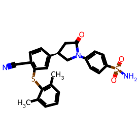 Cc1cccc(C)c1Sc1cc([C@H]2CC(=O)N(c3ccc(S(N)(=O)=O)cc3)C2)ccc1C#N